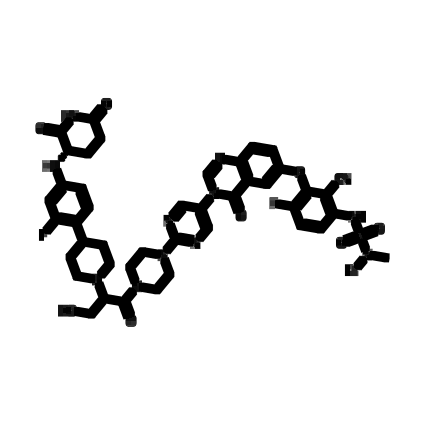 CCN(C)S(=O)(=O)Nc1ccc(F)c(Oc2ccc3ncn(-c4cnc(N5CCN(C(=O)C(CO)N6CCC(c7ccc(N[C@H]8CCC(=O)NC8=O)cc7F)CC6)CC5)nc4)c(=O)c3c2)c1C#N